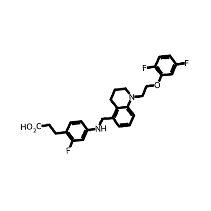 O=C(O)CCc1ccc(NCc2cccc3c2CCCN3CCOc2cc(F)ccc2F)cc1F